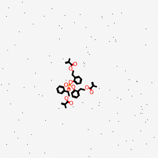 C=C(C)C(=O)OCCc1ccccc1OP(=O)(Oc1ccccc1CCOC(=O)C(=C)C)Oc1ccccc1CCOC(=O)C(=C)C